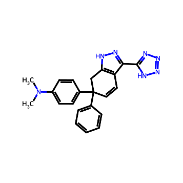 CN(C)c1ccc(C2(c3ccccc3)C=Cc3c(-c4nnn[nH]4)n[nH]c3C2)cc1